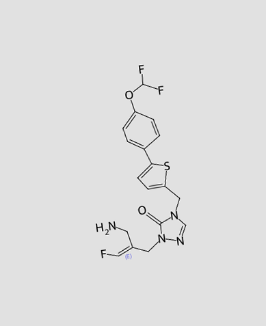 NC/C(=C\F)Cn1ncn(Cc2ccc(-c3ccc(OC(F)F)cc3)s2)c1=O